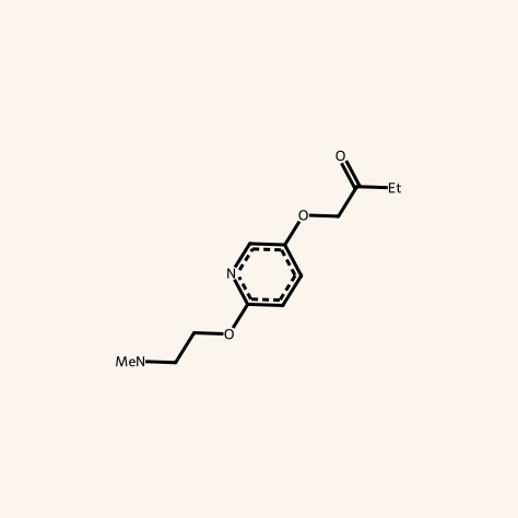 CCC(=O)COc1ccc(OCCNC)nc1